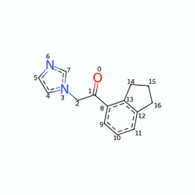 O=C(Cn1ccnc1)c1cccc2c1CCC2